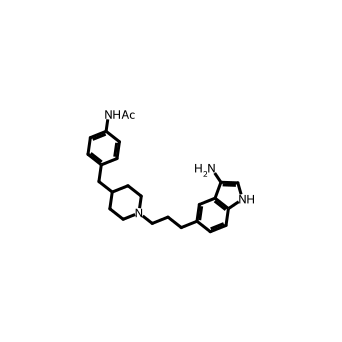 CC(=O)Nc1ccc(CC2CCN(CCCc3ccc4[nH]cc(N)c4c3)CC2)cc1